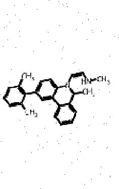 CN/C=C\N1c2ccc(-c3c(C)cccc3C)cc2-c2ccccc2C1C